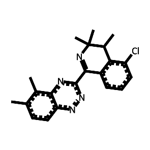 Cc1ccc2nnc(C3=NC(C)(C)C(C)c4c(Cl)cccc43)nc2c1C